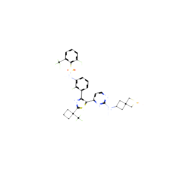 O=S1(=O)CC2(CC(Nc3nccc(-c4sc(C5(C(F)(F)F)CCC5)nc4-c4cccc(NS(=O)(=O)c5c(F)cccc5C(F)(F)F)c4F)n3)C2)C1